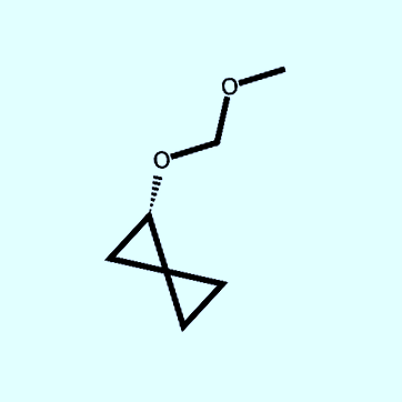 COCO[C@H]1CC12CC2